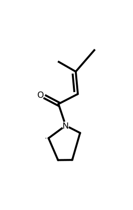 CC(C)=CC(=O)N1[CH]CCC1